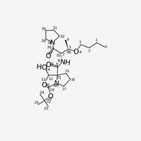 CCCCO[C@H](C)[C@H](NC(=O)C1(C(C)O)CCCN1C(=O)OC(C)(C)C)C(=O)N1CCCC1